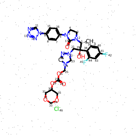 C[C@@H](N1CCN(c2ccc(-n3cnnn3)cc2)C1=O)[C@@](O)(CN1CN(COC(=O)OC2COCOC2)[C+]=N1)c1ccc(F)cc1F.[Cl-]